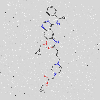 CCOC(=O)CN1CCN(C/C=C/C(=O)Nc2cc3c(N[C@H](C)c4ccccc4)ncnc3cc2OCC2CC2)CC1